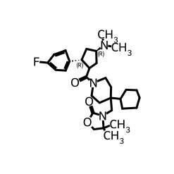 CN(C)[C@H]1CC(C(=O)N2CCC(CN3C(=O)OCC3(C)C)(C3CCCCC3)CC2)[C@H](c2ccc(F)cc2)C1